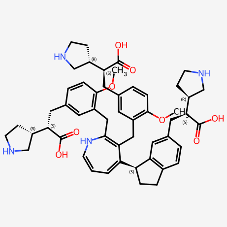 COc1ccc(C[C@H](C(=O)O)[C@H]2CCNC2)cc1CC1=C(Cc2cc(C[C@H](C(=O)O)[C@H]3CCNC3)ccc2OC)C([C@@H]2CCc3ccc(C[C@H](C(=O)O)[C@H]4CCNC4)cc32)=CC=CN1